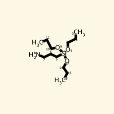 CCCO[Si](CCCN)(OCCC)OCCC